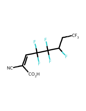 N#CC(=CC(F)(F)C(F)(F)C(F)CC(F)(F)F)C(=O)O